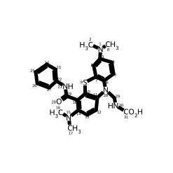 CN(C)c1ccc2c(c1)Sc1c(ccc(N(C)C)c1C(=O)Nc1ccccc1)N2CNC(=O)O